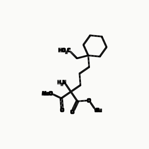 COC(=O)C(N)(CCCC1(CC(=O)O)CCCCC1)C(=O)OC(C)(C)C